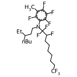 CCCCC(CC)CCN(c1c(F)c(C)c(F)c(F)c1F)C(F)(F)C(F)CCCCCCC(F)(F)F